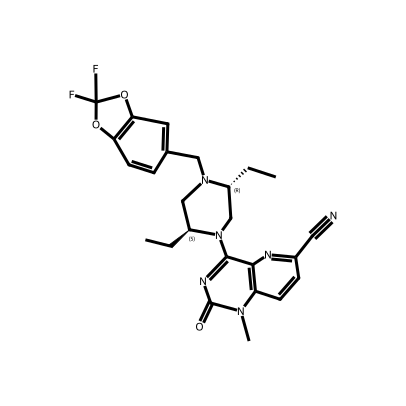 CC[C@@H]1CN(c2nc(=O)n(C)c3ccc(C#N)nc23)[C@@H](CC)CN1Cc1ccc2c(c1)OC(F)(F)O2